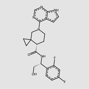 O=C(N[C@@H](CO)c1ccc(F)cc1F)[C@H]1CCN(c2ncnc3[nH]ccc23)CC12CC2